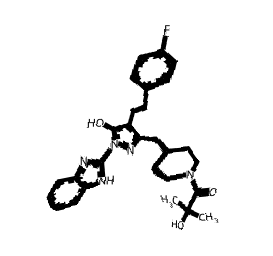 CC(C)(O)C(=O)N1CCC(Cc2nn(-c3nc4ccccc4[nH]3)c(O)c2CCc2ccc(F)cc2)CC1